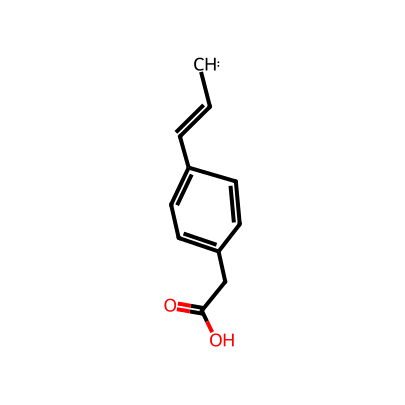 [CH]C=Cc1ccc(CC(=O)O)cc1